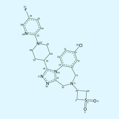 O=S1(=O)CC(N2Cc3cc(Cl)ccc3-n3c(nnc3C3CCN(c4ccc(F)cn4)CC3)C2)C1